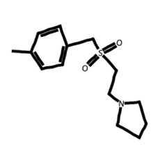 Cc1ccc(CS(=O)(=O)CCN2CCCC2)cc1